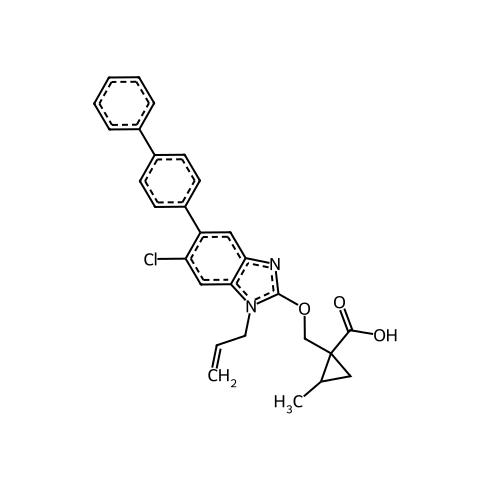 C=CCn1c(OCC2(C(=O)O)CC2C)nc2cc(-c3ccc(-c4ccccc4)cc3)c(Cl)cc21